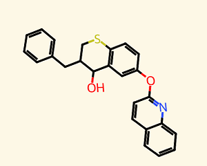 OC1c2cc(Oc3ccc4ccccc4n3)ccc2SCC1Cc1ccccc1